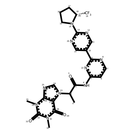 CC(C(=O)Nc1ccnc(-c2cnc(N3CCC[C@@H]3C(F)(F)F)nc2)n1)n1cnc2c1c(=O)n(C)c(=O)n2C